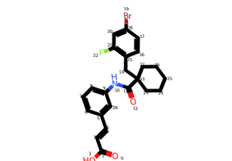 O=C(O)/C=C/c1cccc(NC(=O)C2(Cc3ccc(Br)cc3F)CCCCC2)c1